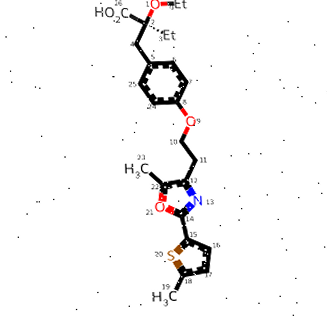 CCO[C@@](CC)(Cc1ccc(OCCc2nc(-c3ccc(C)s3)oc2C)cc1)C(=O)O